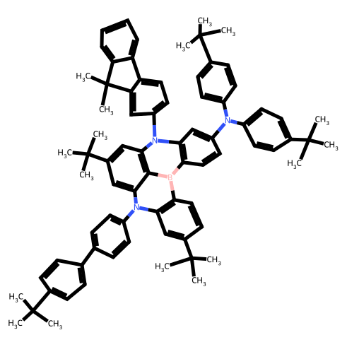 CC(C)(C)c1ccc(-c2ccc(N3c4cc(C(C)(C)C)ccc4B4c5ccc(N(c6ccc(C(C)(C)C)cc6)c6ccc(C(C)(C)C)cc6)cc5N(c5ccc6c(c5)C(C)(C)c5ccccc5-6)c5cc(C(C)(C)C)cc3c54)cc2)cc1